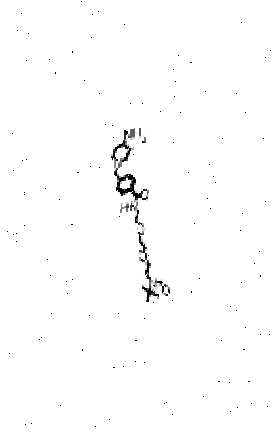 CC(C)(C)N([C]=O)CCOCCOCCNC(=O)c1ccc(CN2CCC(N)CC2)cc1